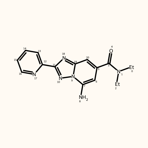 CCN(CC)C(=O)c1cc(N)n2nc(-c3ccccn3)nc2c1